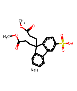 COC(=O)CCC1(CCC(=O)OC)c2ccccc2-c2cc(S(=O)(=O)O)ccc21.[NaH]